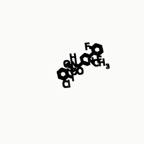 CN1C=C(C(=O)NS(=O)(=O)c2cccc(Cl)c2I)CC=C1c1c(F)cccc1F